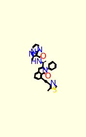 Cc1nn2cccnc2c1C(=O)N[C@@H](C)c1cc2cccc(C#Cc3ncsc3C)c2c(=O)n1-c1ccccc1